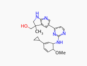 COC1C=CC(C2CC2)=CC1Nc1nccc(-c2cnc3c(c2)C(C)(CO)CN3)n1